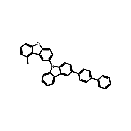 Cc1cccc2oc3ccc(-n4c5ccccc5c5cc(-c6ccc(-c7ccccc7)cc6)ccc54)cc3c12